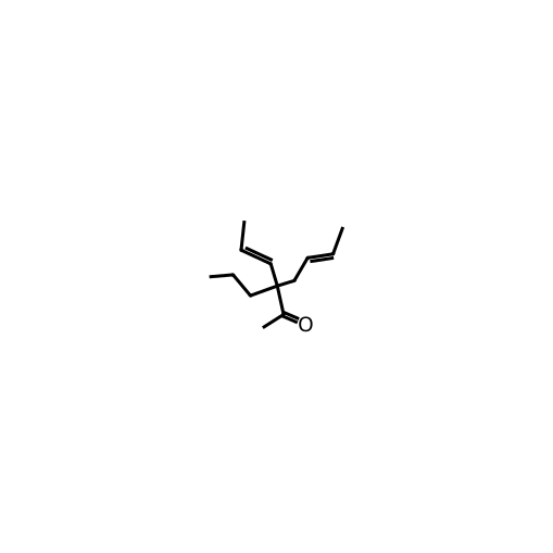 CC=CC(C/C=C/C)(CCC)C(C)=O